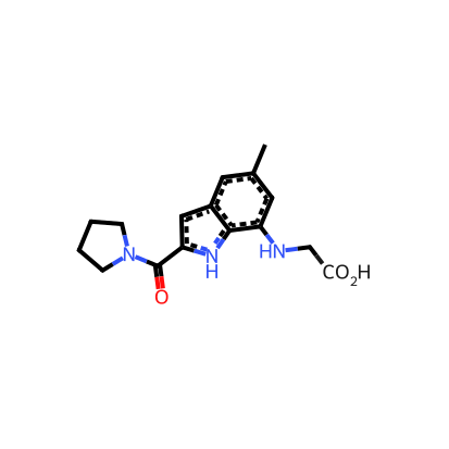 Cc1cc(NCC(=O)O)c2[nH]c(C(=O)N3CCCC3)cc2c1